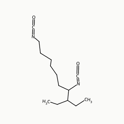 CCC(CC)C(CCCCCCN=C=O)N=C=O